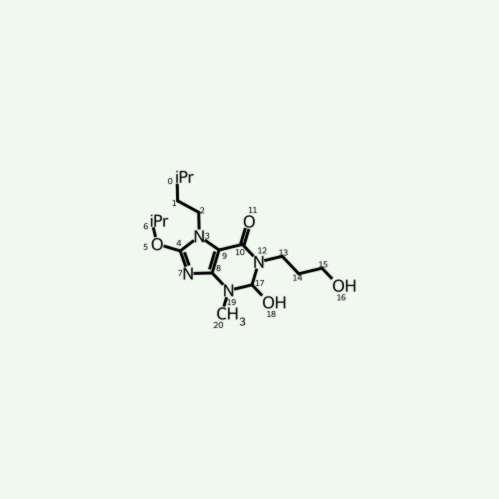 CC(C)CCn1c(OC(C)C)nc2c1C(=O)N(CCCO)C(O)N2C